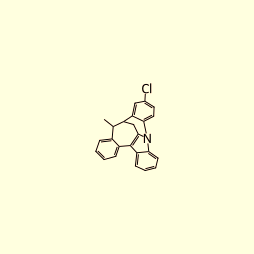 CC1c2ccccc2-c2c3n(c4ccccc24)-c2ccc(Cl)cc2C1C3